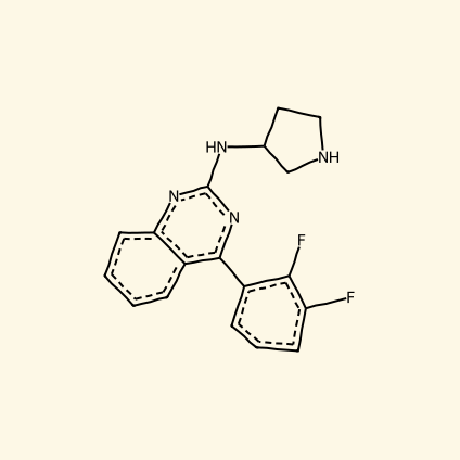 Fc1cccc(-c2nc(NC3CCNC3)nc3ccccc23)c1F